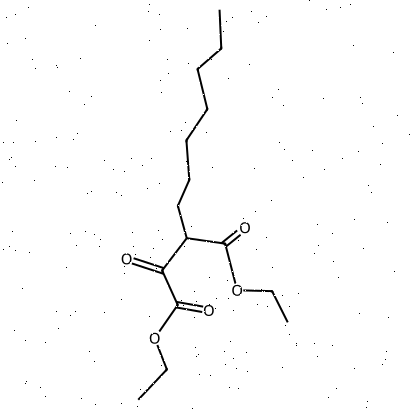 CCCCCCCC(C(=O)OCC)C(=O)C(=O)OCC